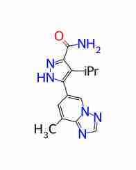 Cc1cc(-c2[nH]nc(C(N)=O)c2C(C)C)cn2ncnc12